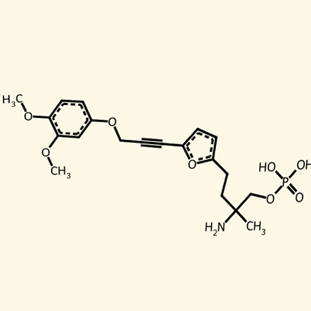 COc1ccc(OCC#Cc2ccc(CCC(C)(N)COP(=O)(O)O)o2)cc1OC